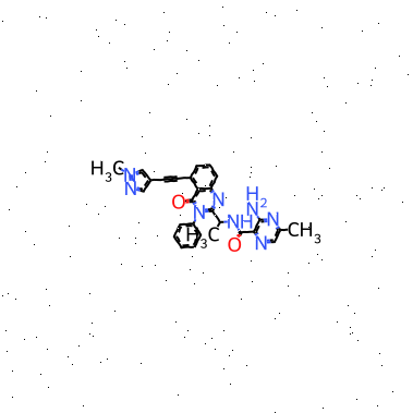 Cc1cnc(C(=O)NC(C)c2nc3cccc(C#Cc4cnn(C)c4)c3c(=O)n2-c2ccccc2)c(N)n1